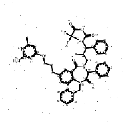 Cc1cc(OCCCc2ccc3c(c2)C(=O)N(CC(C)C(CC(=O)OC(=O)C(F)(F)F)c2ccccc2)C(c2ccccc2)C(=O)N3Cc2ccccc2)nc(N)n1